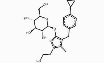 Cc1c(Cc2ccc(C3CC3)cc2)c(O[C@@H]2O[C@H](CO)[C@@H](O)[C@H](O)[C@H]2O)nn1CCO